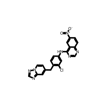 O=[N+]([O-])c1ccc2ncnc(Nc3ccc(Cc4ccn5ncnc5c4)c(Cl)c3)c2c1